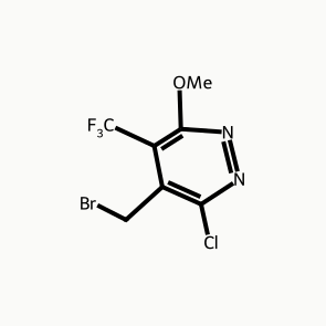 COc1nnc(Cl)c(CBr)c1C(F)(F)F